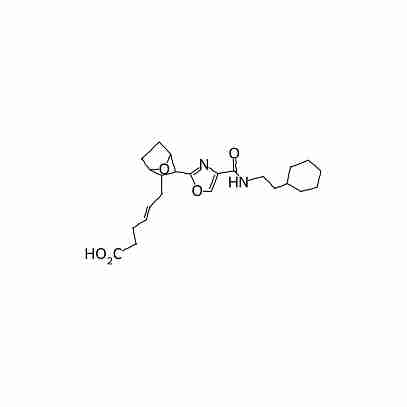 O=C(O)CCC=CCC1C2CCC(O2)C1c1nc(C(=O)NCCC2CCCCC2)co1